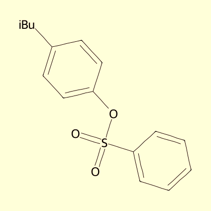 CCC(C)c1ccc(OS(=O)(=O)c2ccccc2)cc1